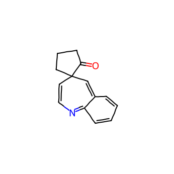 O=C1CCCC12C=CN=c1ccccc1=C2